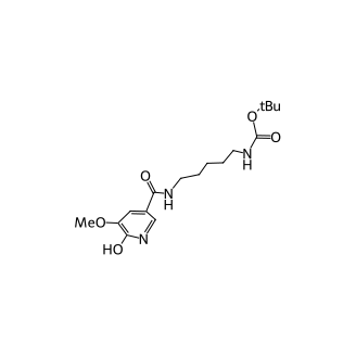 COc1cc(C(=O)NCCCCCNC(=O)OC(C)(C)C)cnc1O